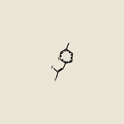 [CH2]c1ccc(C=C(F)F)nc1